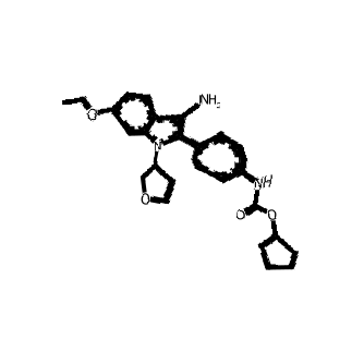 CCOc1ccc2c(N)c(-c3ccc(NC(=O)OC4CCCC4)cc3)n(C3CCOC3)c2c1